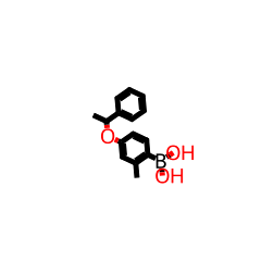 Cc1cc(OC(C)c2ccccc2)ccc1B(O)O